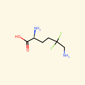 NCC(F)(F)CC[C@H](N)C(=O)O